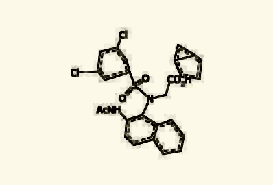 CC(=O)Nc1ccc2ccccc2c1N(CC(=O)O)S(=O)(=O)c1cc(Cl)cc(Cl)c1.c1cc2cc-2c1